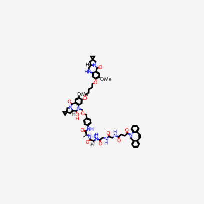 COc1cc2c(cc1OCCCCCOc1cc3c(cc1OC)C(=O)N1CC4(CC4)C[C@H]1[C@H](O)N3COCc1ccc(NC(=O)[C@H](C)NC(=O)[C@@H](NC(=O)CNC(=O)CNC(=O)CCC(=O)N3Cc4ccccc4C#Cc4ccccc43)C(C)C)cc1)NC[C@@H]1CC3(CC3)CN1C2=O